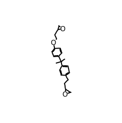 CC(C)(c1ccc(CCC2CO2)cc1)c1ccc(OCCC2CO2)cc1